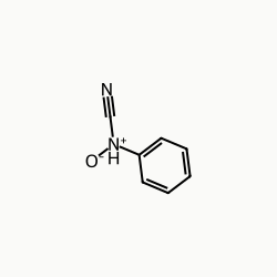 N#C[NH+]([O-])c1ccccc1